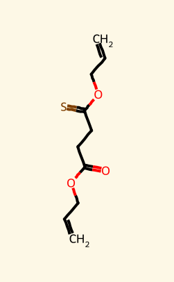 C=CCOC(=O)CCC(=S)OCC=C